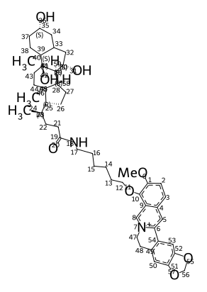 COc1ccc2cc3[n+](cc2c1OCCCCCCNC(=O)CC[C@@H](C)[C@H]1CC[C@H]2[C@@H]4[C@@H](O)CC5C[C@@H](O)CC[C@]5(C)[C@@]4(O)CC[C@]12C)CCc1cc2c(cc1-3)OCO2